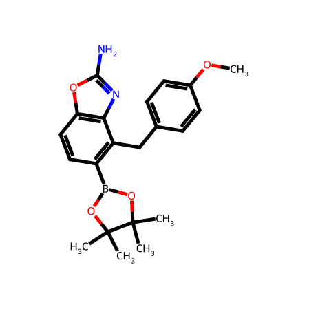 COc1ccc(Cc2c(B3OC(C)(C)C(C)(C)O3)ccc3oc(N)nc23)cc1